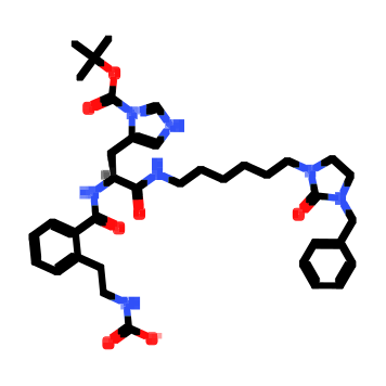 CC(C)(C)OC(=O)[n+]1c[nH]cc1C[C@H](NC(=O)c1ccccc1CCNC(=O)[O-])C(=O)NCCCCCCN1CCN(Cc2ccccc2)C1=O